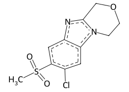 CS(=O)(=O)c1cc2nc3n(c2cc1Cl)CCOC3